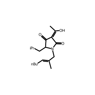 CCCCC=C(C)CN1C(=O)C(=C(C)O)C(=O)C1CC(C)C